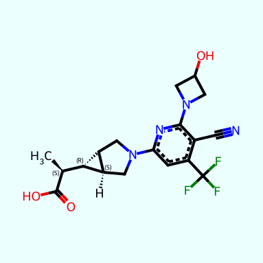 C[C@H](C(=O)O)[C@@H]1C2CN(c3cc(C(F)(F)F)c(C#N)c(N4CC(O)C4)n3)C[C@H]21